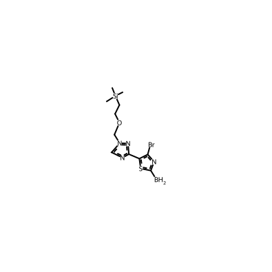 Bc1nc(Br)c(-c2ncn(COCC[Si](C)(C)C)n2)s1